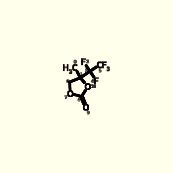 CC1(C(F)(F)C(F)(F)F)COC(=O)O1